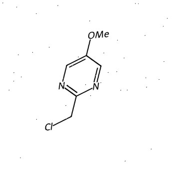 COc1cnc(CCl)nc1